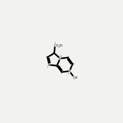 CCOC(=O)C1C=NC2=CN(C#N)C=CN21